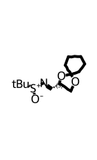 CC(C)(C)[S+]([O-])N=C[C@H]1COC2(CCCCC2)O1